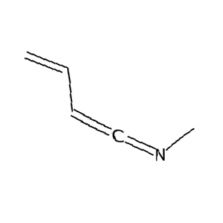 C=CC=C=NC